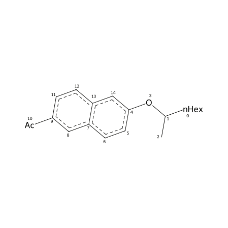 CCCCCCC(C)Oc1ccc2cc(C(C)=O)ccc2c1